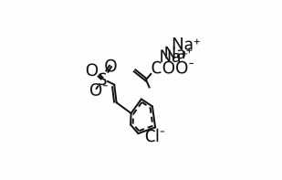 C=C(C)C(=O)[O-].O=S(=O)([O-])C=Cc1ccccc1.[Cl-].[Na+].[Na+].[Na+]